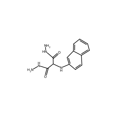 NNC(=O)C(Nc1ccc2ccccc2c1)C(=O)NN